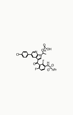 CCCS(=O)(=O)Nc1ccc(F)c(C(=O)c2cn(C(C)O[PH](=O)O)c3ncc(-c4ccc(Cl)cc4)cc23)c1F